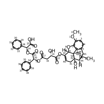 COc1ccc2c3c1O[C@H]1C(OC(=O)[C@@H](O)CC(=O)O[C@H](C(=O)O[C@H](C(=O)O)c4ccccc4)c4ccccc4)=CC[C@@]4(O)[C@@H](C2)N(C)CC[C@]314